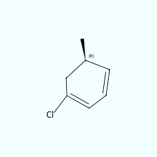 C[C@H]1C=CC=C(Cl)C1